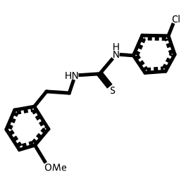 COc1cccc(CCNC(=S)Nc2cccc(Cl)c2)c1